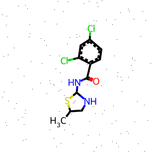 CC1CNC(NC(=O)c2ccc(Cl)cc2Cl)S1